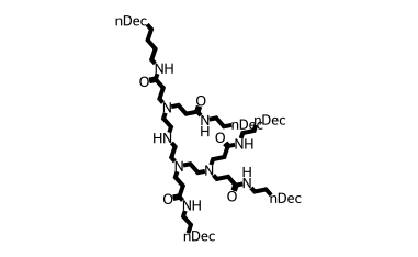 CCCCCCCCCCCCCCNC(=O)CCN(CCNCCN(CCC(=O)NCCCCCCCCCCCC)CCN(CCC(=O)NCCCCCCCCCCCC)CCC(=O)NCCCCCCCCCCCC)CCC(=O)NCCCCCCCCCCCC